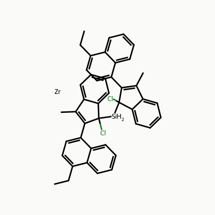 CCc1ccc(C2=C(C)c3ccccc3C2(Cl)[SiH2]C2(Cl)C(c3ccc(CC)c4ccccc34)=C(C)c3ccccc32)c2ccccc12.[Zr]